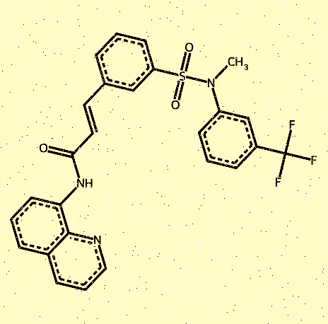 CN(c1cccc(C(F)(F)F)c1)S(=O)(=O)c1cccc(/C=C/C(=O)Nc2cccc3cccnc23)c1